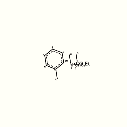 CCCCCC.CCOC(C)=O.Cc1ccccc1